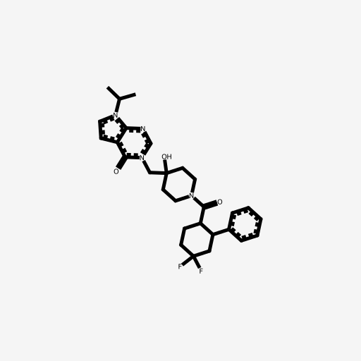 CC(C)n1ccc2c(=O)n(CC3(O)CCN(C(=O)C4CCC(F)(F)CC4c4ccccc4)CC3)cnc21